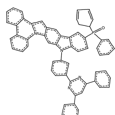 O=P(c1ccccc1)(c1ccc2c(c1)c1cc3cc4c5ccccc5c5ccccc5n4c3cc1n2-c1cccc(-c2nc(-c3ccccc3)cc(-c3ccccc3)n2)c1)C1C=CC=CC1